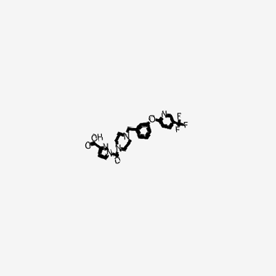 O=C(O)c1ccn(C(=O)N2CCN(Cc3cccc(Oc4ccc(C(F)(F)F)cn4)c3)CC2)n1